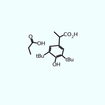 CC(C(=O)O)c1cc(C(C)(C)C)c(O)c(C(C)(C)C)c1.CCC(=O)O